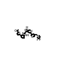 CC(=O)c1ccc(-c2cccc3[nH]c(-c4n[nH]c5cnc(-c6cncc(CN7CCC(F)(F)C7)c6)cc45)nc23)s1